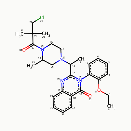 CCOc1ccccc1-n1c(C(C)N2CCN(C(=O)C(C)(C)CCl)C(C)C2)nc2ccccc2c1=O